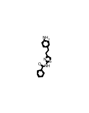 Nc1ccc(CCc2csc(NC(=O)c3ccccc3)n2)cc1